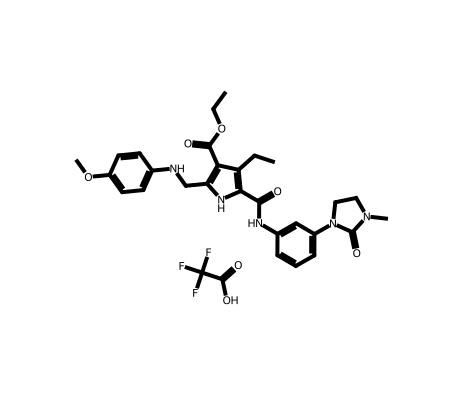 CCOC(=O)c1c(CNc2ccc(OC)cc2)[nH]c(C(=O)Nc2cccc(N3CCN(C)C3=O)c2)c1CC.O=C(O)C(F)(F)F